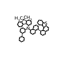 CC1(C)c2ccccc2-c2c(N(c3cccc(-c4ccccc4)c3)c3cccc4c(-c5cccc6ccc7sc8ccccc8c7c56)cccc34)cccc21